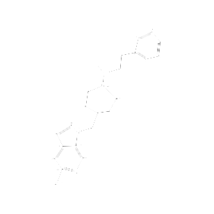 [O-][S+](CCc1ccccc1)N1CCC(Cn2ccc3cc(Br)ncc32)CC1